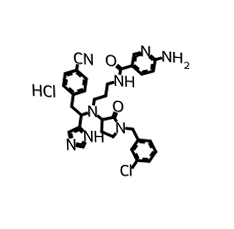 Cl.N#Cc1ccc(CC(c2cnc[nH]2)N(CCCNC(=O)c2ccc(N)nc2)C2CCN(Cc3cccc(Cl)c3)C2=O)cc1